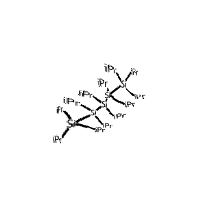 CC(C)[Si](C(C)C)(C(C)C)[Si](C(C)C)(C(C)C)[Si](C(C)C)(C(C)C)[Si](C(C)C)(C(C)C)[Si](C(C)C)(C(C)C)C(C)C